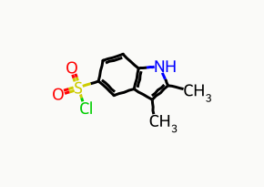 Cc1[nH]c2ccc(S(=O)(=O)Cl)cc2c1C